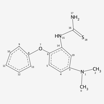 CN(C)c1ccc(Oc2ccccc2)c(NC(N)=S)c1